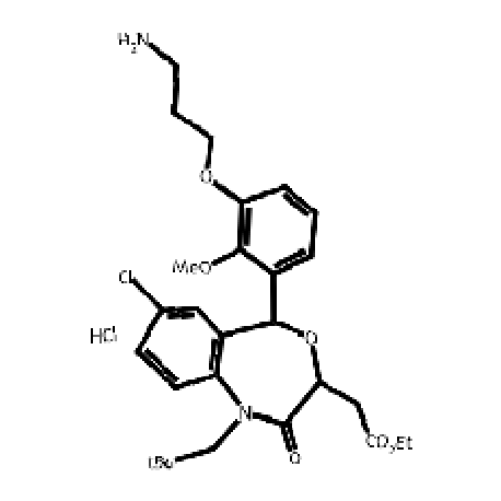 CCOC(=O)CC1OC(c2cccc(OCCCN)c2OC)c2cc(Cl)ccc2N(CC(C)(C)C)C1=O.Cl